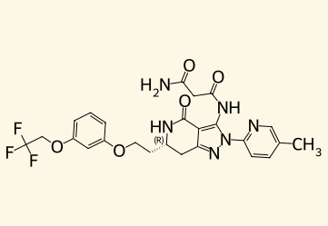 Cc1ccc(-n2nc3c(c2NC(=O)CC(N)=O)C(=O)N[C@@H](CCOc2cccc(OCC(F)(F)F)c2)C3)nc1